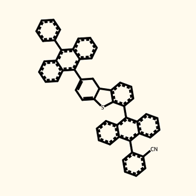 N#Cc1ccccc1-c1c2ccccc2c(-c2cccc3c2SC2=CC=C(c4c5ccccc5c(-c5ccccc5)c5ccccc45)CC23)c2ccccc12